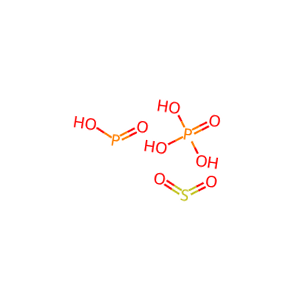 O=P(O)(O)O.O=PO.O=S=O